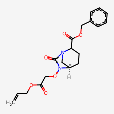 C=CCOC(=O)CON1C(=O)N2C[C@H]1CCC2C(=O)OCc1ccccc1